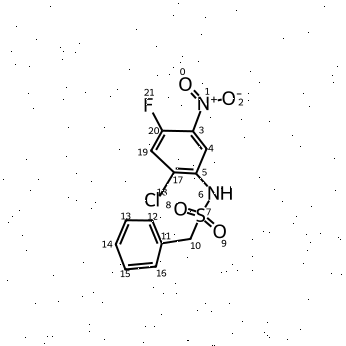 O=[N+]([O-])c1cc(NS(=O)(=O)Cc2ccccc2)c(Cl)cc1F